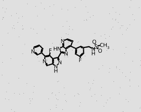 CS(=O)(=O)NCc1cc(F)cc(-c2ccnc3[nH]c(-c4n[nH]c5cnc(-c6cccnc6)c(F)c45)nc23)c1